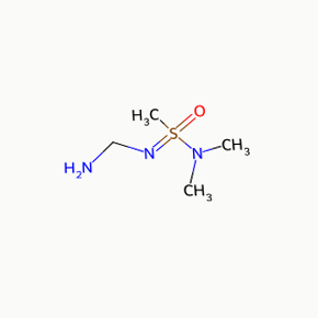 CN(C)S(C)(=O)=NCN